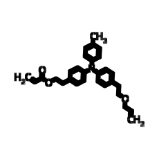 C=CCOCCc1ccc(N(c2ccc(C)cc2)c2ccc(CCOC(=O)C=C)cc2)cc1